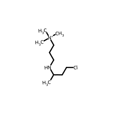 CC(CCCl)NCCC[N+](C)(C)C